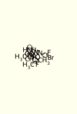 Cc1cc(-n2nc3c(c2-n2ccn(-c4ccc(Br)c(F)c4)c2=O)[C@@H]2CCC[C@H](C3)N2C(=O)OC(C)(C)C)cc(C)c1F